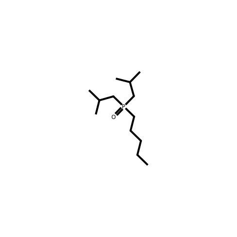 CCCCCP(=O)(CC(C)C)CC(C)C